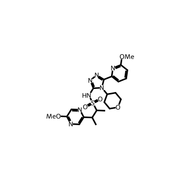 COc1cnc(C(C)C(C)S(=O)(=O)Nc2nnc(-c3cccc(OC)n3)n2C2CCOCC2)cn1